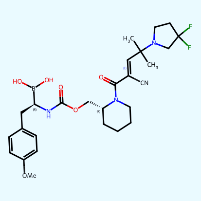 COc1ccc(C[C@H](NC(=O)OC[C@H]2CCCCN2C(=O)/C(C#N)=C/C(C)(C)N2CCC(F)(F)C2)B(O)O)cc1